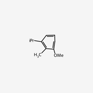 [CH2]C(C)c1cccc(OC)c1C